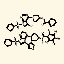 O=C(NC1CCN(c2ncnc3c2c(Br)cn3S(=O)(=O)c2ccccc2)CC1)c1ccccc1.[2H]c1c([2H])c([2H])c(C(=O)N([2H])C2CCN(c3ncnc4c3c(-c3ccoc3)cn4S(=O)(=O)c3ccccc3)CC2)c([2H])c1[2H]